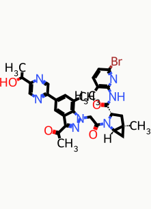 CC(=O)c1nn(CC(=O)N2[C@H](C(=O)Nc3nc(Br)ccc3C)C[C@@]3(C)C[C@@H]23)c2c(C)cc(-c3cnc(C(C)O)cn3)cc12